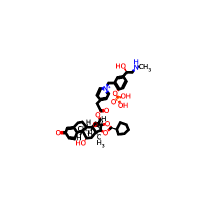 CNC[C@H](O)c1ccc(OP(=O)(O)O)c(C[n+]2ccc(CC(=O)OCC(=O)[C@@]34O[C@H](C5CCCCC5)O[C@@H]3C[C@H]3[C@@H]5CCC6=CC(=O)C=C[C@]6(C)[C@H]5[C@@H](O)C[C@@]34C)cc2)c1